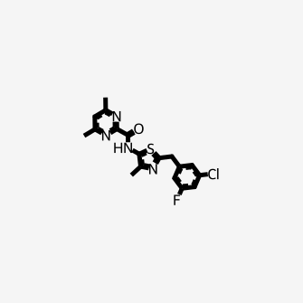 Cc1cc(C)nc(C(=O)Nc2sc(Cc3cc(F)cc(Cl)c3)nc2C)n1